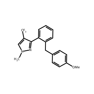 COc1ccc(Cc2ccccc2-c2nn(C)cc2C(F)(F)F)cc1